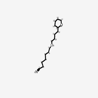 N#CCCCCCCOCCCCC1CCCCO1